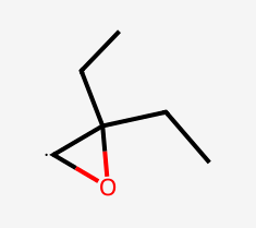 CCC1(CC)[CH]O1